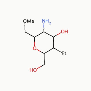 CCC1C(CO)OC(COC)C(N)C1O